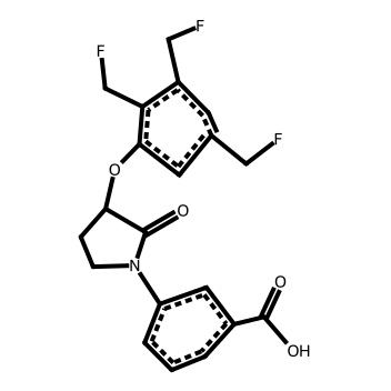 O=C(O)c1cccc(N2CCC(Oc3cc(CF)cc(CF)c3CF)C2=O)c1